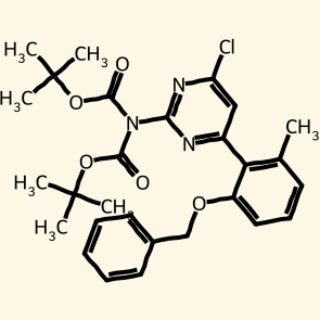 Cc1cccc(OCc2ccccc2)c1-c1cc(Cl)nc(N(C(=O)OC(C)(C)C)C(=O)OC(C)(C)C)n1